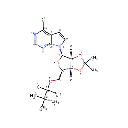 CC1(C)O[C@@H]2[C@H](O1)[C@@H](CO[Si](C)(C)C(C)(C)C)O[C@H]2n1ccc2c(Cl)ncnc21